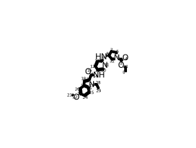 CCOC(=O)N1CC[C@H](Nc2ccc(NC(=O)c3cc4cc(OC)ccc4n3CC)cn2)C1